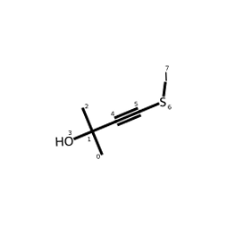 CC(C)(O)C#CSI